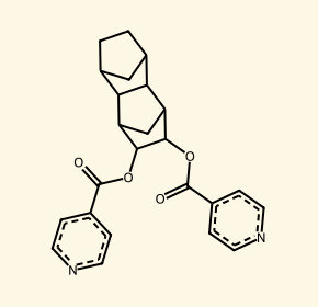 O=C(OC1C2CC(C1OC(=O)c1ccncc1)C1C3CCC(C3)C21)c1ccncc1